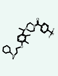 Cc1c(OCCN(C)C2CCCCC2)ccc(C(C)N2CCN(C(=O)c3ccc(C(F)(F)F)cc3)CC2)c1C